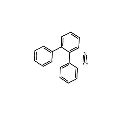 C#N.c1ccc(-c2ccccc2-c2ccccc2)cc1